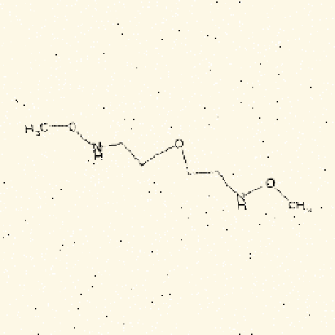 CONCCOCCNOC